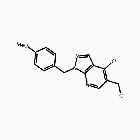 COc1ccc(Cn2ncc3c(Cl)c(CCl)cnc32)cc1